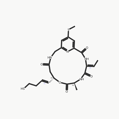 C/C=C1\NC(=O)c2cc(SC)cc(n2)CNC(=O)C[C@@H](/C=C/CCS)OC(=O)[C@H](C)NC1=O